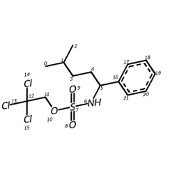 CC(C)CCC(NS(=O)(=O)OCC(Cl)(Cl)Cl)c1ccccc1